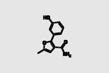 Cc1cc(C(N)=O)c(-c2cccc(O)c2)o1